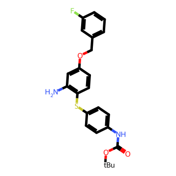 CC(C)(C)OC(=O)Nc1ccc(Sc2ccc(OCc3cccc(F)c3)cc2N)cc1